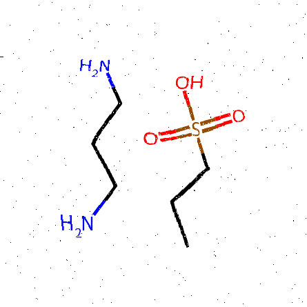 CCCS(=O)(=O)O.NCCCN